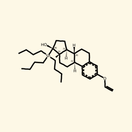 C=COc1ccc2c(c1)CC[C@@H]1[C@@H]2CC[C@@]2(C)[C@H]1CC[C@@]2(O)[Sn]([CH2]CCC)([CH2]CCC)[CH2]CCC